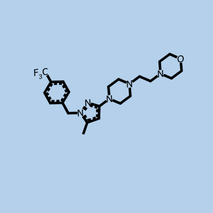 Cc1cc(N2CCN(CCN3CCOCC3)CC2)nn1Cc1ccc(C(F)(F)F)cc1